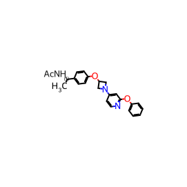 CC(=O)N[C@@H](C)c1ccc(OC2CN(c3ccnc(Oc4ccccc4)c3)C2)cc1